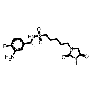 C[C@@H](NS(=O)(=O)CCCCCN1CC(=O)NC1=O)c1ccc(F)c(N)c1